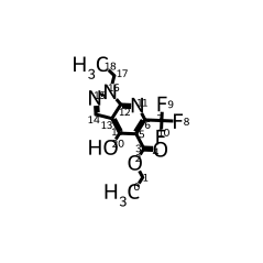 CCOC(=O)c1c(C(F)(F)F)nc2c(cnn2CC)c1O